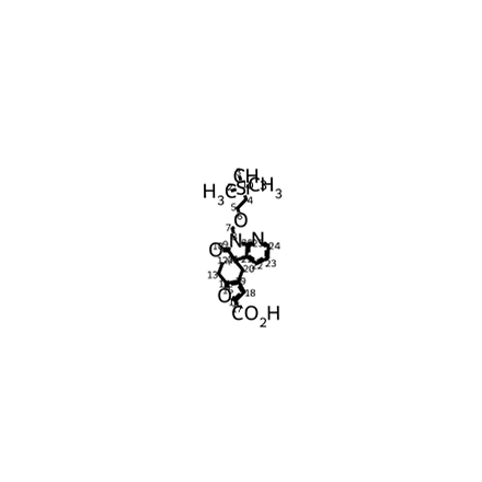 C[Si](C)(C)CCOCN1C(=O)[C@@]2(CCc3oc(C(=O)O)cc3C2)c2cccnc21